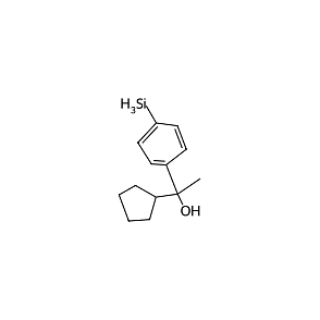 CC(O)(c1ccc([SiH3])cc1)C1CCCC1